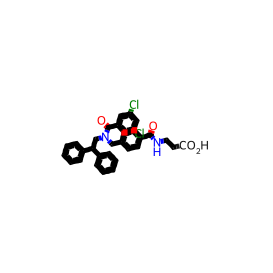 O=C(O)CCNC(=O)c1ccc(CN(CC(c2ccccc2)c2ccccc2)C(=O)c2cc(Cl)cc(Cl)c2)cc1